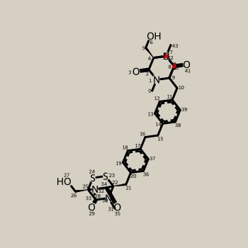 CN1C(=O)[C@]2(CO)SSC1(Cc1ccc(CCc3ccc(C[C@@]45SS[C@@](CO)(C(=O)N4C)N(C)C5=O)cc3)cc1)C(=O)N2C